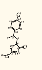 CSC1=NC(=O)C(CC(C)c2ccc(Cl)cc2)S1